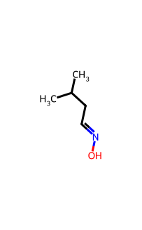 CC(C)CC=NO